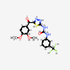 COc1ccc(C(=O)c2nnc(NC(=O)Nc3cccc(C(F)(F)F)c3)s2)cc1OC